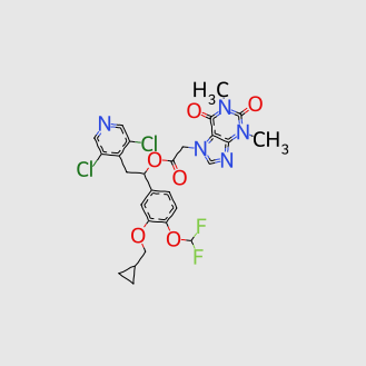 Cn1c(=O)c2c(ncn2CC(=O)OC(Cc2c(Cl)cncc2Cl)c2ccc(OC(F)F)c(OCC3CC3)c2)n(C)c1=O